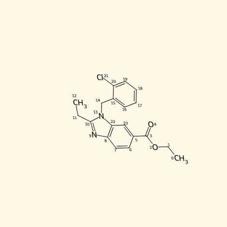 CCOC(=O)c1ccc2nc(CC)n(Cc3ccccc3Cl)c2c1